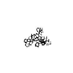 CC(C)(C)C(Cc1c(C(=O)O)cnc2c(NC(=O)c3c(Cl)cccc3Cl)cccc12)O[SiH](c1ccccc1)c1ccccc1